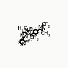 CC1N=C(C(F)(F)F)N=C1c1ccc([C@@H](C)n2c(=O)n(C)c3cnc(-c4cccnc4C(C)C)nc32)cc1